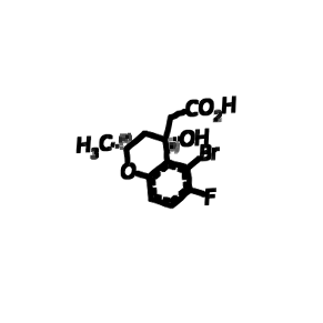 C[C@@H]1C[C@@](O)(CC(=O)O)c2c(ccc(F)c2Br)O1